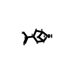 C=C(C)C1CC2CC(C1)N2